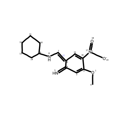 COC1=CC(=N)/C(=C\NC2CCCCC2)C=C1[N+](=O)[O-]